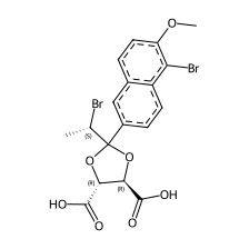 COc1ccc2cc(C3([C@H](C)Br)O[C@@H](C(=O)O)[C@H](C(=O)O)O3)ccc2c1Br